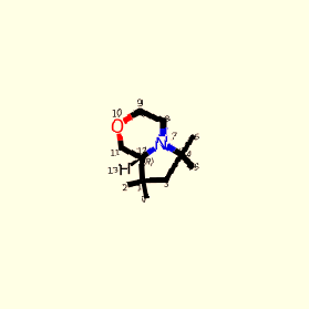 CC1(C)CC(C)(C)N2CCOC[C@H]21